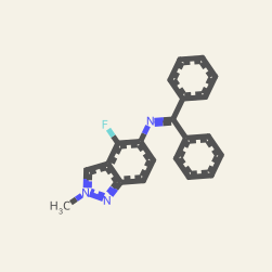 Cn1cc2c(F)c(N=C(c3ccccc3)c3ccccc3)ccc2n1